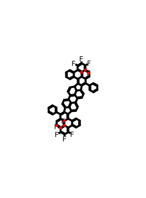 Fc1c(F)c(F)c(-c2ccccc2-c2c3c(c(-c4ccccc4)c4ccccc24)-c2ccc4c5c6c(c7ccc-3c2c47)=CC=C2c3c(c(-c4ccccc4-c4c(F)c(F)c(F)c(F)c4F)c4ccccc4c3-c3ccccc3)C(C=C5)C26)c(F)c1F